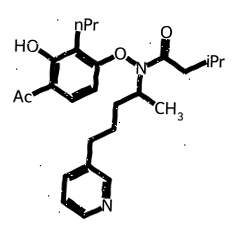 CCCc1c(ON(C(=O)CC(C)C)C(C)CCCc2cccnc2)ccc(C(C)=O)c1O